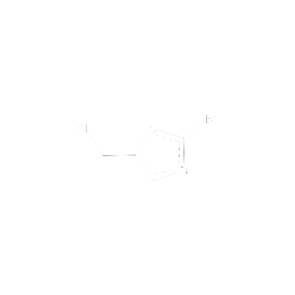 ClCc1cnc(Br)s1